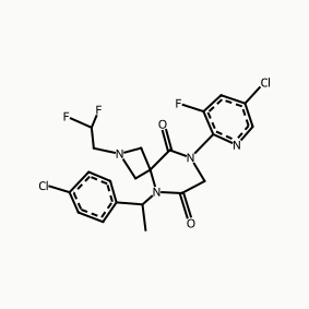 CC(c1ccc(Cl)cc1)N1C(=O)CN(c2ncc(Cl)cc2F)C(=O)C12CN(CC(F)F)C2